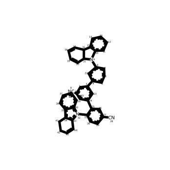 N#Cc1cc(-c2cccc(N3c4ccccc4C4C=CC=CC43)c2)cc(-c2cc(C#N)ccc2-n2c3c(c4ccccc42)CCC=C3)c1